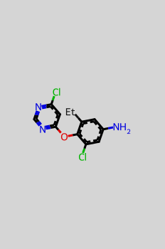 CCc1cc(N)cc(Cl)c1Oc1cc(Cl)ncn1